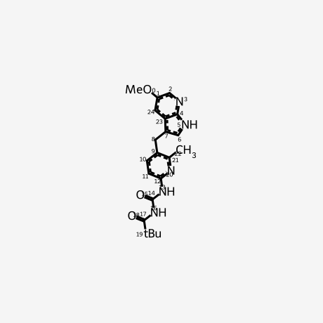 COc1cnc2[nH]cc(Cc3ccc(NC(=O)NC(=O)C(C)(C)C)nc3C)c2c1